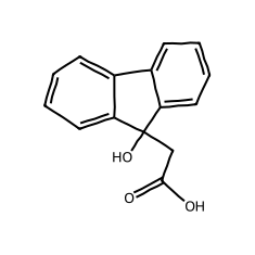 O=C(O)CC1(O)c2ccccc2-c2ccccc21